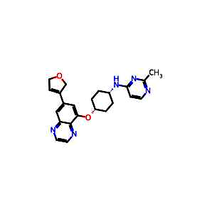 Cc1nccc(N[C@H]2CC[C@@H](Oc3cc(C4=CCOC4)cc4nccnc34)CC2)n1